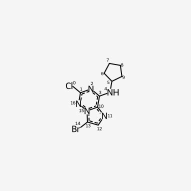 Clc1nc(NC2CCCC2)c2ncc(Br)n2n1